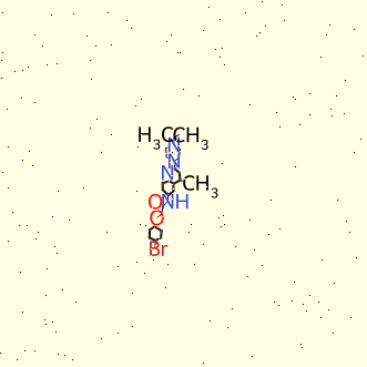 Cc1cc(N2CCN(C(C)C)CC2)nc2ccc(NC(=O)COc3ccc(Br)cc3)cc12